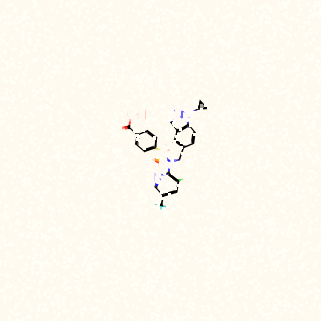 O=C(O)c1ccc(S(=O)(=O)N(Cc2ccc3c(cnn3C3CC3)c2)c2ncc(C(F)(F)F)cc2Cl)cc1